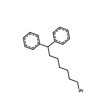 CC(C)CCCCCC[C](c1ccccc1)c1ccccc1